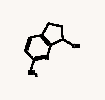 Bc1ccc2c(n1)C(O)CC2